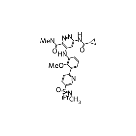 CN=S(=O)(c1ccc(-c2cccc(Nc3cc(NC(=O)C4CC4)nnc3C(=O)NC)c2OC)nc1)C(C)C